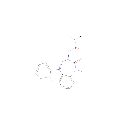 C[C@H](N)C(=O)NC1N=C(c2ccccc2F)c2ccccc2N(C)C1=O